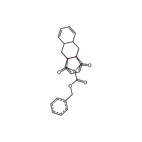 O=C(OCc1ccccc1)N1C(=O)C2C(C1=O)C1C3C=CC=CC3C2C2C=CC=CC21